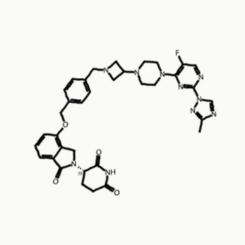 Cc1ncn(-c2ncc(F)c(N3CCN(C4CN(Cc5ccc(COc6cccc7c6CN([C@H]6CCC(=O)NC6=O)C7=O)cc5)C4)CC3)n2)n1